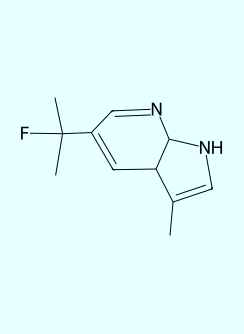 CC1=CNC2N=CC(C(C)(C)F)=CC12